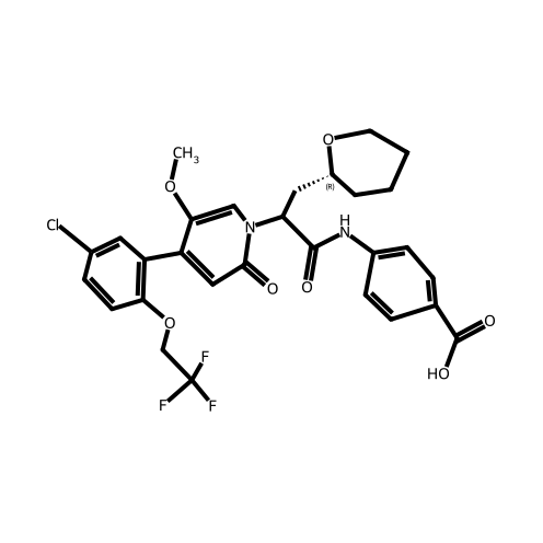 COc1cn(C(C[C@H]2CCCCO2)C(=O)Nc2ccc(C(=O)O)cc2)c(=O)cc1-c1cc(Cl)ccc1OCC(F)(F)F